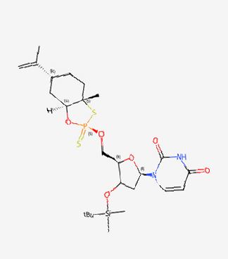 C=C(C)[C@@H]1CC[C@]2(C)S[P@@](=S)(OC[C@H]3O[C@@H](n4ccc(=O)[nH]c4=O)CC3O[Si](C)(C)C(C)(C)C)O[C@H]2C1